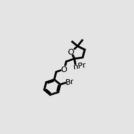 CCCC1(COCc2ccccc2Br)CCC(C)(C)O1